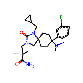 CN(C)[C@]1(c2cccc(F)c2)CC[C@@]2(CC1)CN(CC(C)(C)C(N)=O)C(=O)N2CC1CC1